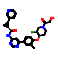 Cc1cc(-c2cc(NC(=O)[C@@H]3C[C@H]3c3cccnc3)ncn2)ccc1O[C@H]1CCN(C(=O)CO)C[C@H]1F